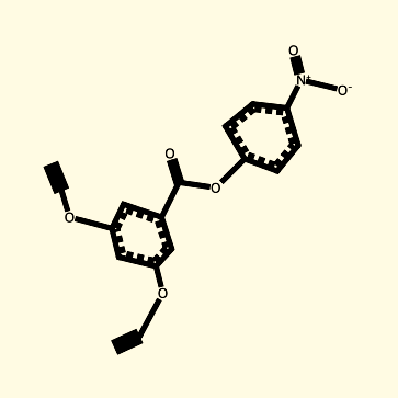 C#COc1cc(OC#C)cc(C(=O)Oc2ccc([N+](=O)[O-])cc2)c1